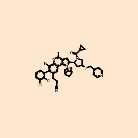 Cc1nc2c(F)c(-c3cccc(Cl)c3Cl)c(CCC#N)cc2c2c1cc(C1CC(OCc3ccncc3)CN1C(=O)C1CC1)n2C1C2CNC1C2